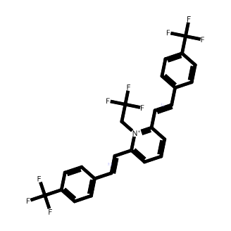 FC(F)(F)C[n+]1c(/C=C/c2ccc(C(F)(F)F)cc2)cccc1/C=C/c1ccc(C(F)(F)F)cc1